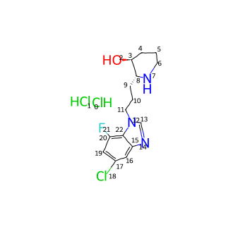 Cl.Cl.O[C@H]1CCCN[C@@H]1CCCn1cnc2cc(Cl)cc(F)c21